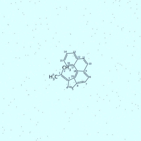 CC(C)=C1C=Cc2ccc3ccc4ccccc4c3c21